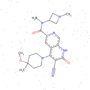 BN(C(=O)c1cc2c(N3CCC(C)(OC)CC3)c(C#N)c(=O)[nH]c2cn1)C1CN(C)C1